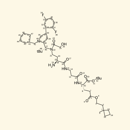 CC1(CCOC(=O)CC[C@H](NC(=O)CCNC(=O)[C@@H](N)CCN(C(=O)CO)[C@@H](c2cc(-c3cc(F)ccc3F)cn2Cc2ccccc2)C(C)(C)C)C(=O)OC(C)(C)C)CCC1